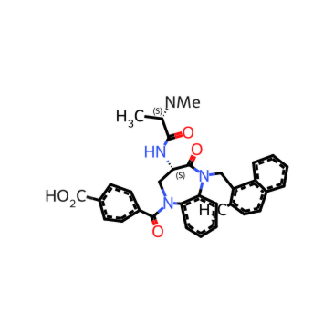 CN[C@@H](C)C(=O)N[C@H]1CN(C(=O)c2ccc(C(=O)O)cc2)c2ccccc2N(Cc2c(C)ccc3ccccc23)C1=O